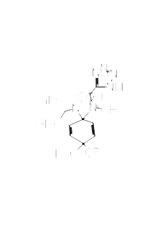 CCC[C@@H](C=O)N(C(=O)O)C1(N(C)Cc2nnn[nH]2)C=CC(C)(C(F)(F)F)C=C1